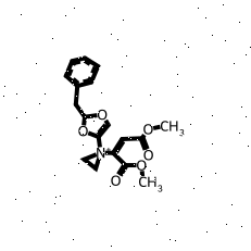 COC(=O)C=C(C(=O)OC)[N+]1(C2=COC(Cc3ccccc3)O2)CC1